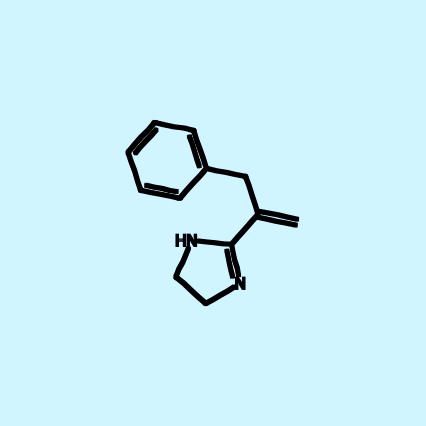 C=C(Cc1ccccc1)C1=NCCN1